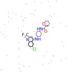 O=C(N[C@H]1CC[C@@H](Nc2cc(C(F)(F)F)nc3ccc(Cl)cc23)CC1)C1=CCCCO1